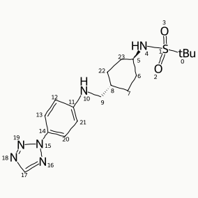 CC(C)(C)S(=O)(=O)N[C@H]1CC[C@H](CNc2ccc(-n3ncnn3)cc2)CC1